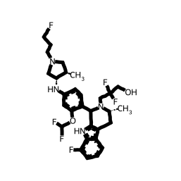 C[C@@H]1Cc2c([nH]c3c(F)cccc23)C(c2ccc(N[C@@H]3CN(CCCF)C[C@@H]3C)cc2OC(F)F)N1CC(F)(F)CO